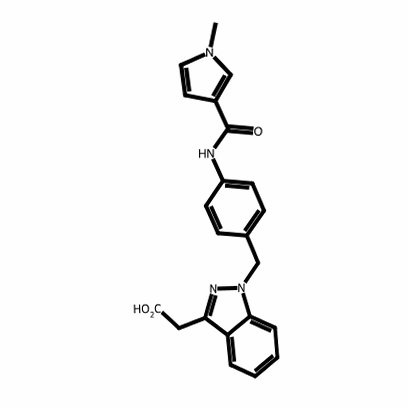 Cn1ccc(C(=O)Nc2ccc(Cn3nc(CC(=O)O)c4ccccc43)cc2)c1